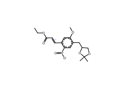 CCOC(=O)/C=C/c1cc(OC)c(CC2COC(C)(C)O2)cc1[N+](=O)[O-]